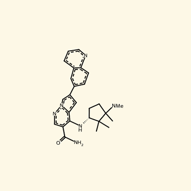 CNC1(C)CC[C@@H](Nc2c(C(N)=O)cnn3cc(-c4ccc5ncccc5c4)cc23)C1(C)C